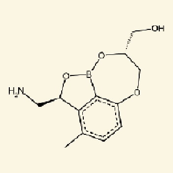 Cc1ccc2c3c1[C@@H](CN)OB3O[C@H](CO)CO2